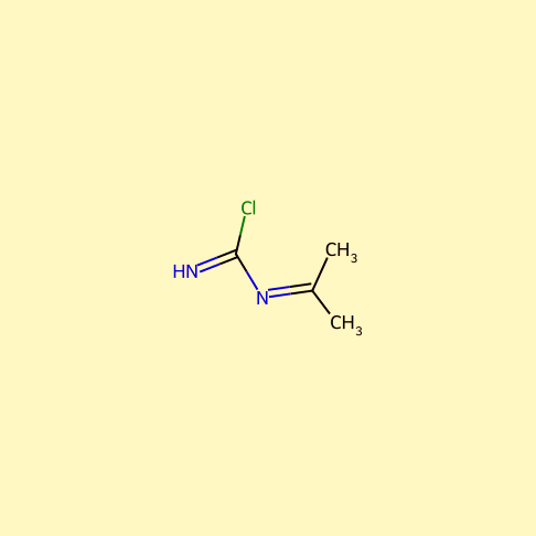 CC(C)=NC(=N)Cl